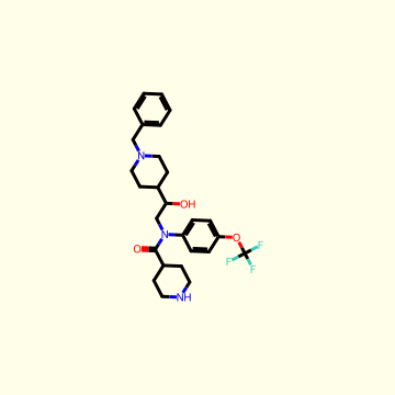 O=C(C1CCNCC1)N(CC(O)C1CCN(Cc2ccccc2)CC1)c1ccc(OC(F)(F)F)cc1